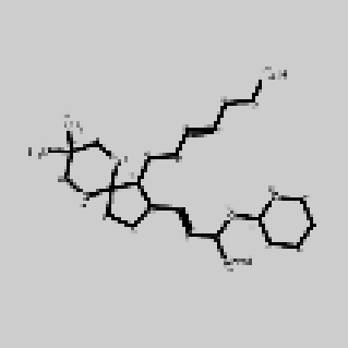 CCCCCC(C=CC1CCC2(OCC(C)(C)CO2)C1CCC=CCCC(=O)O)OC1CCCCO1